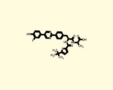 CC(NC(=O)C(Cc1ccc(-c2ncc(-c3ccc(O)c(F)c3)cn2)cc1)NC(=O)c1ccc(C(C)(C)C)s1)C(=O)O